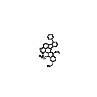 Cc1c2cc(CC(C)(C)C)ccc2c(C)c2c1c1c3c(ccc4c5c(-c6ccccc6)cccc5n2c43)nc[n+]1C